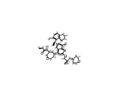 C#Cc1c(F)ccc2c1[C@@H](c1ncc3c(N4CCOCC(NC(=O)C=C)C4)nc(OCC4(CN5CCOCC5)CC4)nc3c1F)CCC2